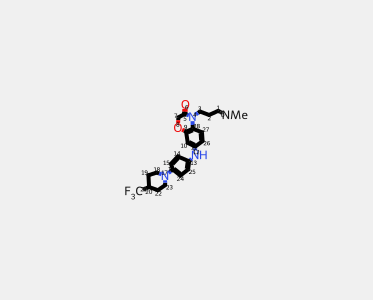 CNCCCN1C(=O)COc2cc(Nc3ccc(N4CCC(C(F)(F)F)CC4)cc3)ccc21